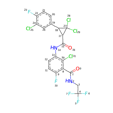 O=C(NCC(F)(F)F)c1c(F)ccc(NC(=O)C2C(c3ccc(F)c(Cl)c3)C2(Cl)Cl)c1Cl